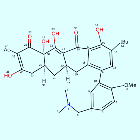 COc1ccc(CN(C)C)cc1-c1cc(C(C)(C)C)c(O)c2c1C[C@H]1C[C@H]3CC(O)=C(C(C)=O)C(=O)[C@@]3(O)C(O)=C1C2=O